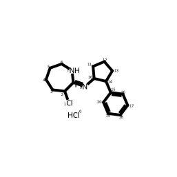 Cl.ClC1CCCCNC1=NC1CCCC1c1ccccc1